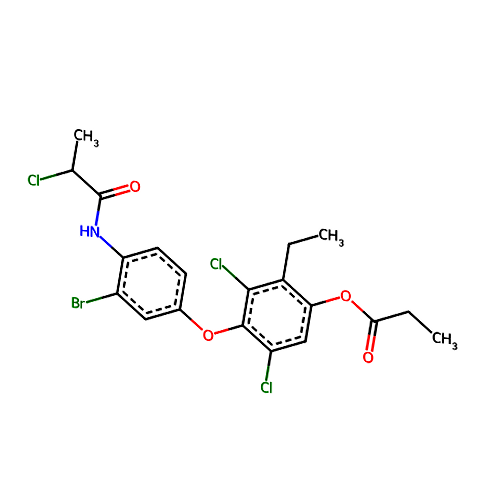 CCC(=O)Oc1cc(Cl)c(Oc2ccc(NC(=O)C(C)Cl)c(Br)c2)c(Cl)c1CC